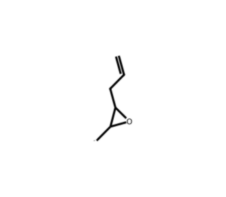 [CH2]C1OC1CC=C